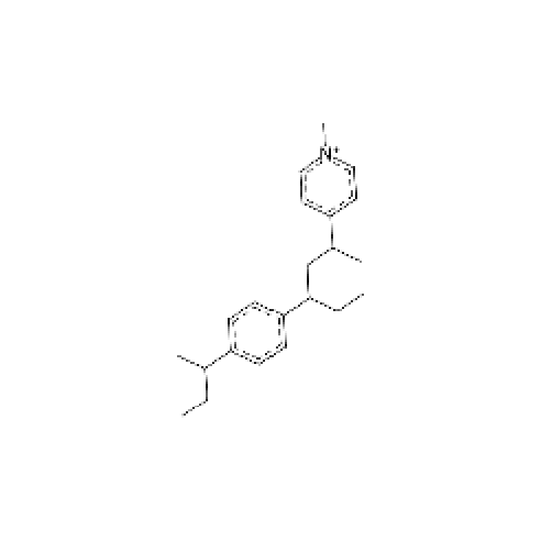 CCC(C)c1ccc(C(CC)CC(C)c2cc[n+](C)cc2)cc1